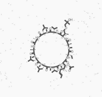 C/C=C/C[C@@H](C)[C@@H](OC(C)=O)[C@H]1C(=O)N[C@@H](CC)C(=O)N(C)[C@H](C)C(=O)N[C@@H]([C@H](C)COCC(C)(C)O)C(=O)N[C@@H](C(C)C)C(=O)N(C)[C@@H](CC(C)C)C(=O)N[C@@H](C)C(=O)N[C@H](C)C(=O)N(C)[C@@H](CC(C)C)C(=O)N(C)[C@@H](CC(C)C)C(=O)N(C)[C@@H](C(C)C)C(=O)N1C